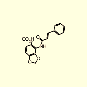 O=C(C=Cc1ccccc1)Nc1c(C(=O)O)ccc2c1OCO2